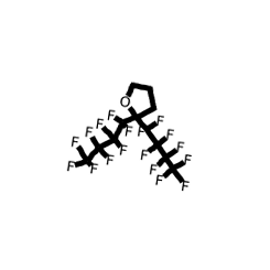 FC(F)(F)C(F)(F)C(F)(F)C(F)(F)C1(C(F)(F)C(F)(F)C(F)(F)C(F)(F)F)CCCO1